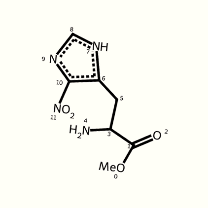 COC(=O)C(N)Cc1[nH]cnc1[N+](=O)[O-]